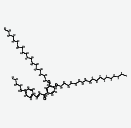 CCCCCCCCCCCCCCCCCCCOc1ccc(C(=O)C=Cc2ccc(SCCCC)cc2)cc1OCCCCCCCCCCCCCCCCCCC